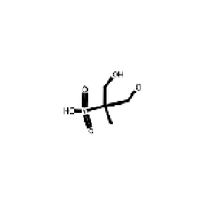 CC(CO)(CCl)S(=O)(=O)O